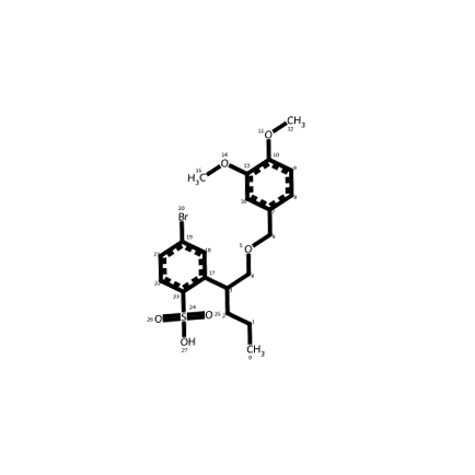 CCCC(COCc1ccc(OC)c(OC)c1)c1cc(Br)ccc1S(=O)(=O)O